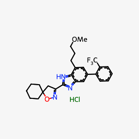 COCCCc1cc(-c2ccccc2C(F)(F)F)cc2nc(C3=NOC4(CCCCC4)C3)[nH]c12.Cl